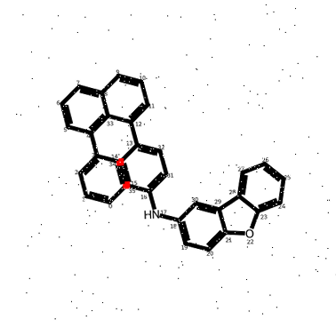 c1ccc(-c2cccc3cccc(-c4ccc(Nc5ccc6oc7ccccc7c6c5)cc4)c23)cc1